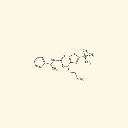 CCCCCCCCCCCCC(OC(=O)NC(C)c1ccccc1)c1coc([Si](C)(C)C)c1